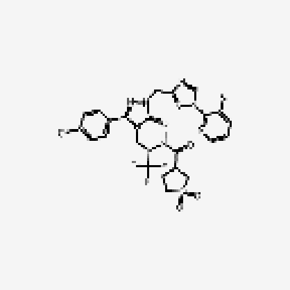 O=C(NC(Cn1c(-c2ccc(Cl)cc2)nn(Cc2ncn(-c3ncccc3Cl)n2)c1=O)C(F)(F)F)C1CCS(=O)(=O)C1